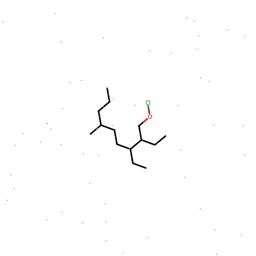 CCCC(C)CCC(CC)C(CC)COCl